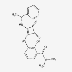 CC(Nc1c(Nc2cccc(C(=O)N(C)C)c2O)c(=O)c1=O)c1ccncc1